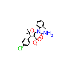 COC(=O)C1=C(N(C(N)=O)c2ccccc2C)OC(C)(C)C1c1ccc(Cl)cc1